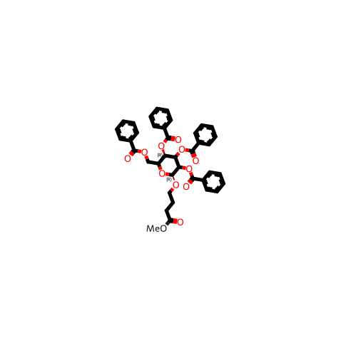 COC(=O)CCCO[C@@H]1OC(COC(=O)c2ccccc2)[C@@H](OC(=O)c2ccccc2)C(OC(=O)c2ccccc2)C1OC(=O)c1ccccc1